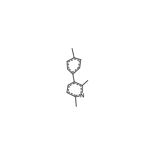 Cc1ccc(-c2ccc(C)nc2C)cc1